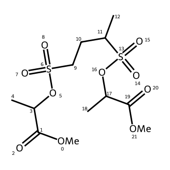 COC(=O)C(C)OS(=O)(=O)CCC(C)S(=O)(=O)OC(C)C(=O)OC